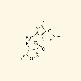 C/C=C1\ON=C(S(=O)(=O)Cc2c(C(F)(F)F)nn(C)c2OC(F)F)C1F